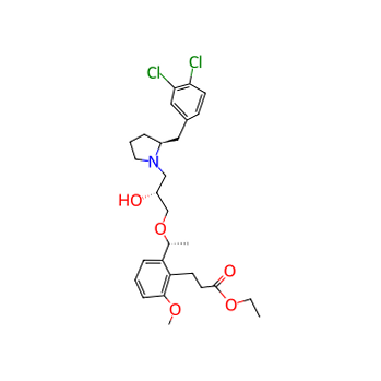 CCOC(=O)CCc1c(OC)cccc1[C@@H](C)OC[C@H](O)CN1CCC[C@H]1Cc1ccc(Cl)c(Cl)c1